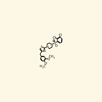 COc1ccc(Cc2csc(N3CCN(S(=O)(=O)c4cccc(Cl)c4Cl)CC3)n2)cc1OC